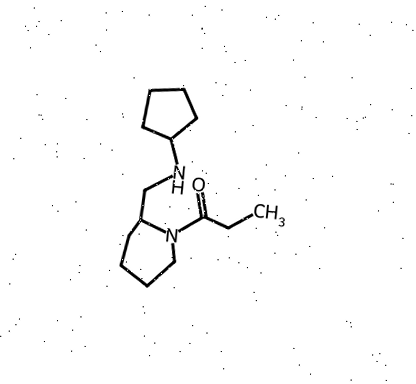 CCC(=O)N1CCCCC1CNC1CCCC1